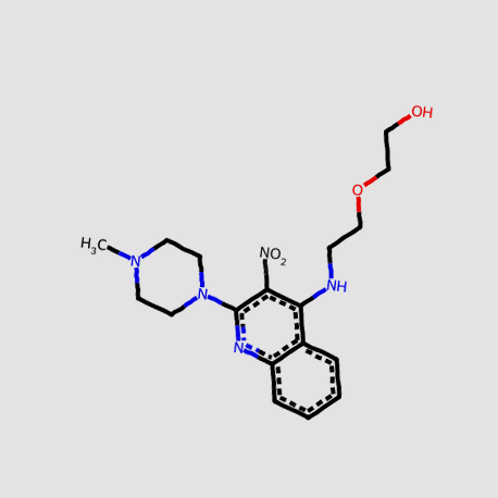 CN1CCN(c2nc3ccccc3c(NCCOCCO)c2[N+](=O)[O-])CC1